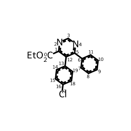 CCOC(=O)c1ncnc(-c2ccccc2)c1-c1ccc(Cl)cc1